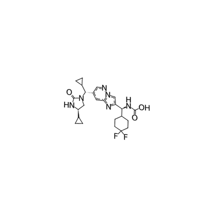 O=C(O)N[C@H](c1cn2ncc([C@@H](C3CC3)N3C[C@@H](C4CC4)NC3=O)cc2n1)C1CCC(F)(F)CC1